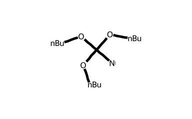 CCCCOC([N])(OCCCC)OCCCC